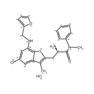 Cc1c(C[C@@H](N)C(=O)N(C)c2ccccc2)sc2c(NCc3ccco3)cc(Cl)nc12.Cl